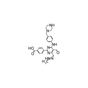 CN/N=C\c1nc(-c2ccc(C(=O)O)cc2)nc(Nc2ccc(CN3CCNCC3)cc2)c1C=O